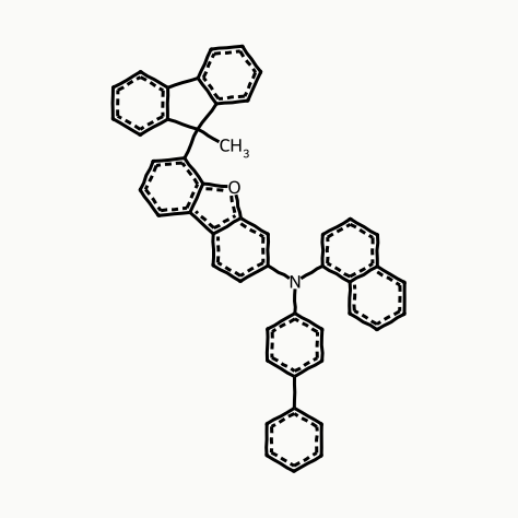 CC1(c2cccc3c2oc2cc(N(c4ccc(-c5ccccc5)cc4)c4cccc5ccccc45)ccc23)c2ccccc2-c2ccccc21